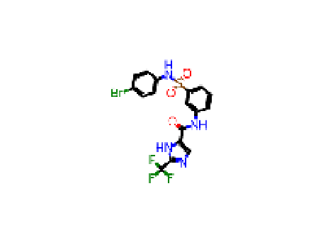 O=C(Nc1cccc(S(=O)(=O)Nc2ccc(Br)cc2)c1)c1cnc(C(F)(F)F)[nH]1